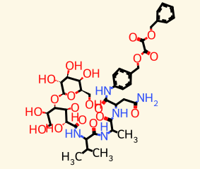 CC(NC(=O)C(NC(=O)[C@H](O)[C@H](O)[C@@H](O[C@@H]1O[C@H](CO)[C@H](O)[C@H](O)[C@H]1O)[C@H](O)CO)C(C)C)C(=O)NC(CC(N)=O)C(=O)Nc1ccc(COC(=O)C(=O)OCc2ccccc2)cc1